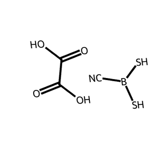 N#CB(S)S.O=C(O)C(=O)O